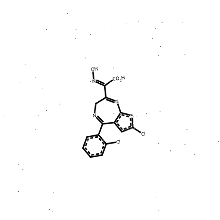 O=C(O)C(=NO)C1=Nc2sc(Cl)cc2C(c2ccccc2Cl)=NC1